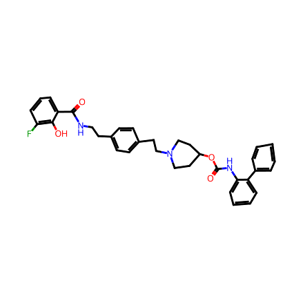 O=C(Nc1ccccc1-c1ccccc1)OC1CCN(CCc2ccc(CCNC(=O)c3cccc(F)c3O)cc2)CC1